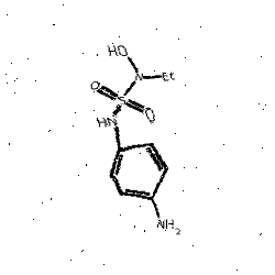 CCN(O)S(=O)(=O)Nc1ccc(N)cc1